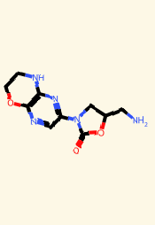 NCC1CN(c2cnc3c(n2)NCCO3)C(=O)O1